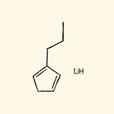 CCCC1=CCC=C1.[LiH]